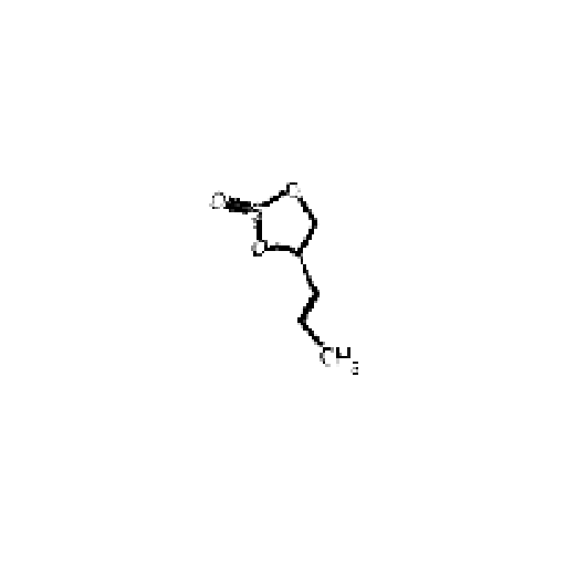 CCC[C@@H]1COS(=O)O1